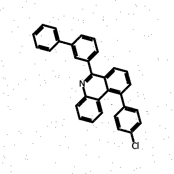 Clc1ccc(-c2cccc3c(-c4cccc(-c5ccccc5)c4)nc4ccccc4c23)cc1